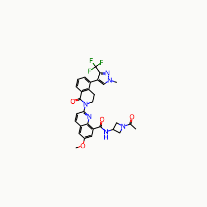 COc1cc(C(=O)NC2CN(C(C)=O)C2)c2nc(N3CCc4c(cccc4-c4cn(C)nc4C(F)(F)F)C3=O)ccc2c1